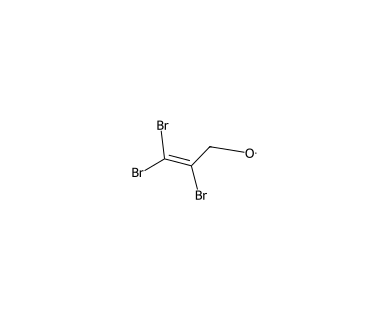 [O]CC(Br)=C(Br)Br